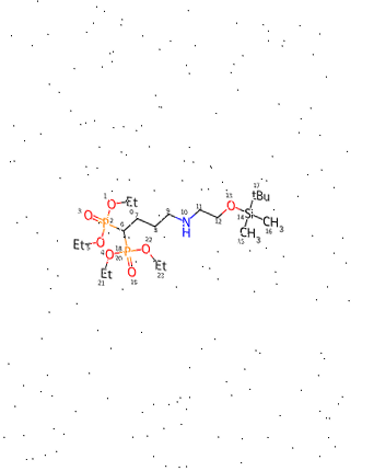 CCOP(=O)(OCC)C(CCCNCCO[Si](C)(C)C(C)(C)C)P(=O)(OCC)OCC